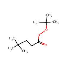 CC(C)(C)CCC(=O)OOC(C)(C)C